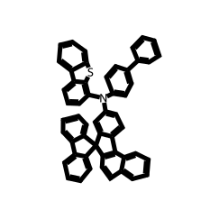 c1ccc(-c2ccc(N(c3ccc4c(c3)C3(c5ccccc5-c5ccccc53)c3ccc5ccccc5c3-4)c3cccc4c3sc3ccccc34)cc2)cc1